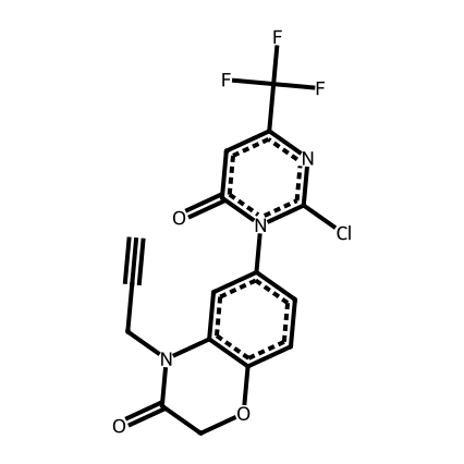 C#CCN1C(=O)COc2ccc(-n3c(Cl)nc(C(F)(F)F)cc3=O)cc21